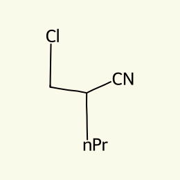 CCCC(C#N)CCl